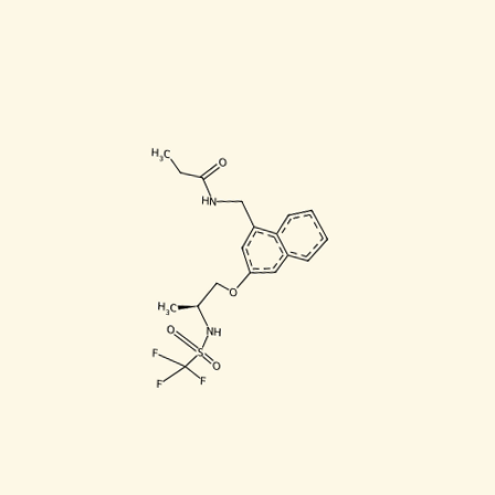 CCC(=O)NCc1cc(OC[C@H](C)NS(=O)(=O)C(F)(F)F)cc2ccccc12